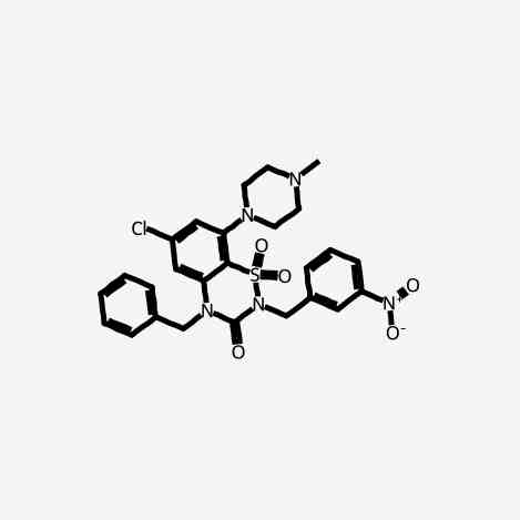 CN1CCN(c2cc(Cl)cc3c2S(=O)(=O)N(Cc2cccc([N+](=O)[O-])c2)C(=O)N3Cc2ccccc2)CC1